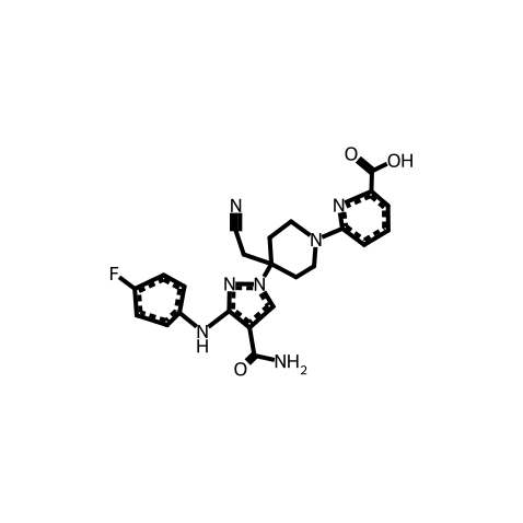 N#CCC1(n2cc(C(N)=O)c(Nc3ccc(F)cc3)n2)CCN(c2cccc(C(=O)O)n2)CC1